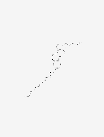 CC(C)CCC[C@@H](C)[C@H]1CCC2C3CC=C4CC(OC(=O)NCCOCCOCCN)CC[C@]4(C)C3CC[C@@]21C